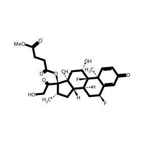 COC(=O)CCC(=O)O[C@]1(C(=O)CO)[C@@H](C)C[C@H]2[C@@H]3C[C@H](F)C4=CC(=O)C=C[C@]4(C)[C@@]3(F)[C@@H](O)C[C@@]21C